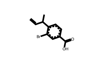 C=CC(C)c1ccc(C(=O)O)cc1Br